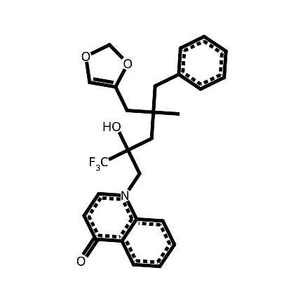 CC(CC1=COCO1)(Cc1ccccc1)CC(O)(Cn1ccc(=O)c2ccccc21)C(F)(F)F